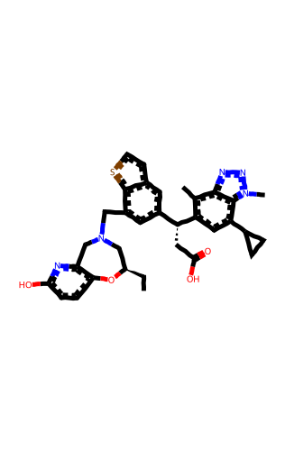 CC[C@@H]1CN(Cc2cc([C@@H](CC(=O)O)c3cc(C4CC4)c4c(nnn4C)c3C)cc3ccsc23)Cc2nc(O)ccc2O1